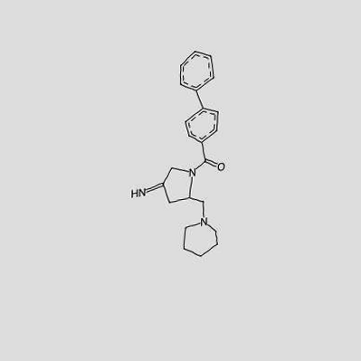 N=C1CC(CN2CCCCC2)N(C(=O)c2ccc(-c3ccccc3)cc2)C1